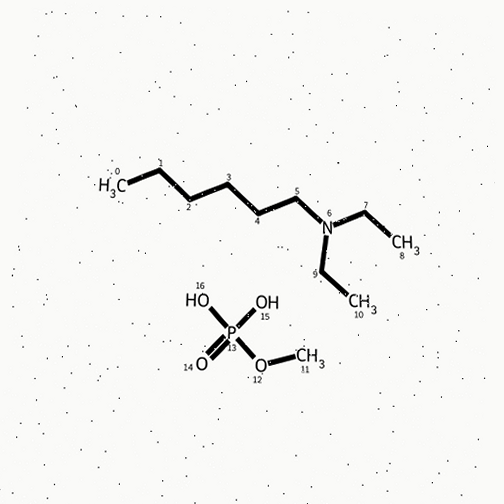 CCCCCCN(CC)CC.COP(=O)(O)O